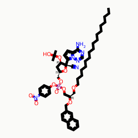 CCCCCCCCCCCCCCCCCCOC[C@H](COP(=O)(OC[C@@H]1C[C@@H](OC(C)(C)O)[C@](C#N)(c2ccc3c(N)ncnn23)O1)Oc1ccc([N+](=O)[O-])cc1)OCc1ccc2ccccc2c1